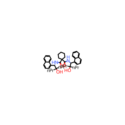 CCCC(O)(CCC)[C@@H](NC(=O)C1(C(=O)N[C@@H](c2cccc3ccccc23)C(O)(CCC)CCC)CCCCC1)c1cccc2ccccc12